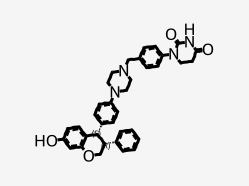 O=C1CCN(c2ccc(CN3CCN(c4ccc([C@H]5c6ccc(O)cc6OC[C@H]5c5ccccc5)cc4)CC3)cc2)C(=O)N1